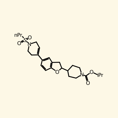 CCCS(=O)(=O)N1CC=C(c2ccc3c(c2)CC(C2CCN(C(=O)OC(C)C)CC2)O3)CC1